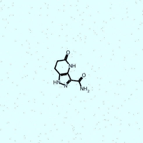 NC(=O)c1n[nH]c2c1NC(=O)CC2